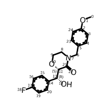 COc1ccc(CN2CCO[C@@H]([C@H](O)c3ccc(F)cc3)C2=O)cc1